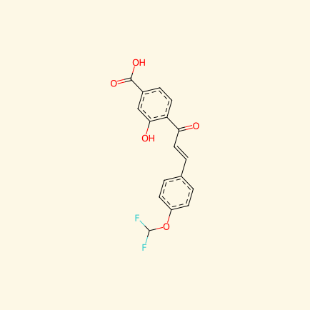 O=C(O)c1ccc(C(=O)C=Cc2ccc(OC(F)F)cc2)c(O)c1